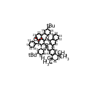 CC(C)(C)c1ccc(N2B3c4cc5c(cc4N(c4ccc(C(C)(C)C)cc4-c4ccccc4)c4c3c(cc3ccccc43)-c3cc4c(cc32)C(C)(C)CCC4(C)C)oc2ccccc25)cc1